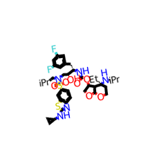 CC[C@]1(NC(C)C)CCOC2OCC(OC(=O)N[C@@H](Cc3cc(F)cc(F)c3)[C@H](O)CN(CC(C)C)S(=O)(=O)c3ccc4nc(NC5CC5)sc4c3)C21